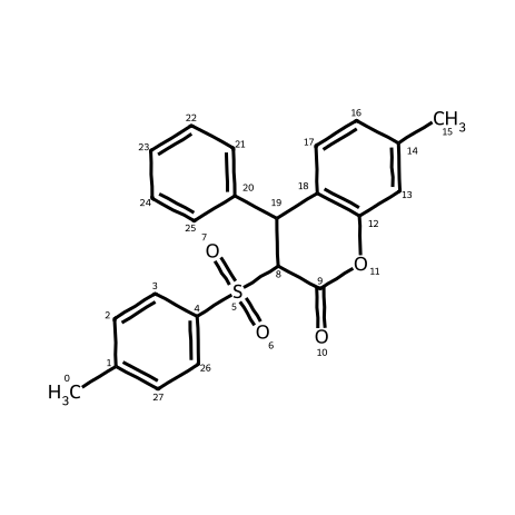 Cc1ccc(S(=O)(=O)C2C(=O)Oc3cc(C)ccc3C2c2ccccc2)cc1